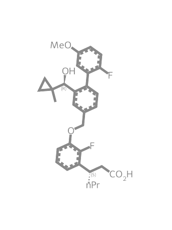 CCC[C@@H](CC(=O)O)c1cccc(OCc2ccc(-c3cc(OC)ccc3F)c([C@H](O)C3(C)CC3)c2)c1F